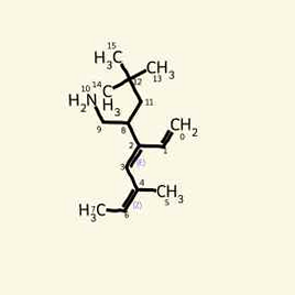 C=C/C(=C\C(C)=C/C)C(CN)CC(C)(C)C